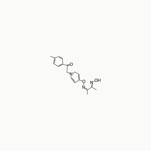 CC(=NO)C(C)=NOc1cc[n+](CC(=O)c2ccc(C)cc2)cc1